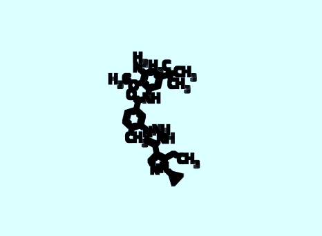 CCc1c(C2=CN(c3cc(C(=O)Nc4cc(C(C)(C)C)cc(N)c4OC)ccc3C)NN2)cnn1C1CC1